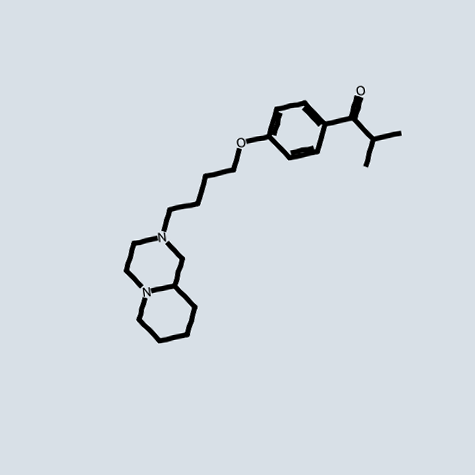 CC(C)C(=O)c1ccc(OCCCCN2CCN3CCCCC3C2)cc1